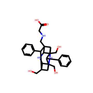 O=C(O)CNCC12C3NC4C5(CO)C(NC1C3(CO)C5c1ccccc1)C4(CO)C2c1ccccc1